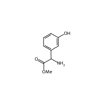 COC(=O)C(N)c1cccc(O)c1